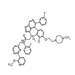 COc1ncccc1-c1nccc(COc2ccccc2C[C@@H](Oc2nsc3cnc(-c4cccc(F)c4)c(-c4ccc(OCCN5CCN(C)CC5)c(Cl)c4C)c23)C(=O)O)n1